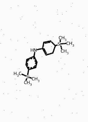 C[Si](C)(C)c1ccc(NC2=CCC([Si](C)(C)C)C=C2)cc1